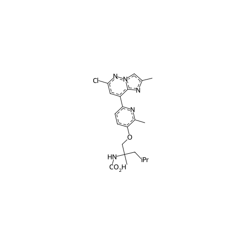 Cc1cn2nc(Cl)cc(-c3ccc(OCC(C)(CC(C)C)NC(=O)O)c(C)n3)c2n1